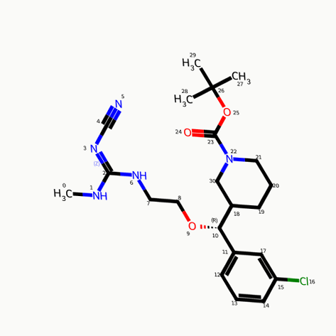 CN/C(=N/C#N)NCCO[C@@H](c1cccc(Cl)c1)C1CCCN(C(=O)OC(C)(C)C)C1